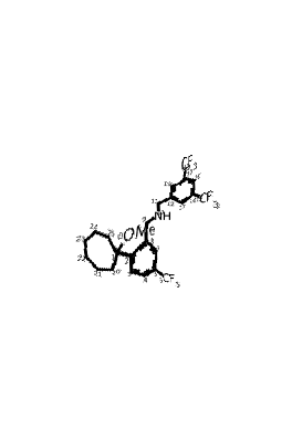 COC1(c2ccc(C(F)(F)F)cc2CNCc2cc(C(F)(F)F)cc(C(F)(F)F)c2)CCCCCC1